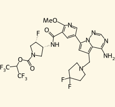 COc1ncc(-c2cc(CN3CCC(F)(F)CC3)c3c(N)ncnn23)cc1C(=O)N[C@@H]1CN(C(=O)OC(C(F)(F)F)C(F)(F)F)C[C@@H]1F